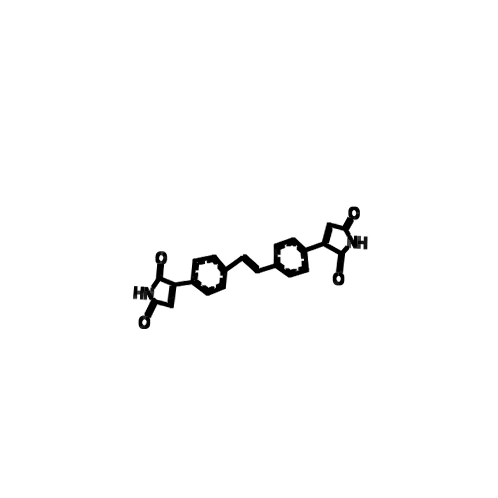 O=C1C=C(c2ccc(C=Cc3ccc(C4=CC(=O)NC4=O)cc3)cc2)C(=O)N1